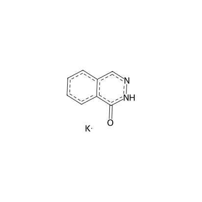 O=c1[nH]ncc2ccccc12.[K]